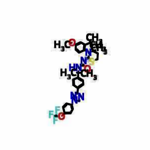 COc1ccc(N2/C(=N/C(=O)NC(C)(C)c3ccc(-c4ncn(-c5ccc(OC(F)(F)F)cc5)n4)cc3)SCCC2C)c(C(C)C)c1